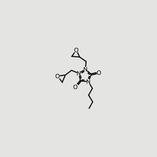 CCCCn1c(=O)n(CC2CO2)n(CC2CO2)c1=O